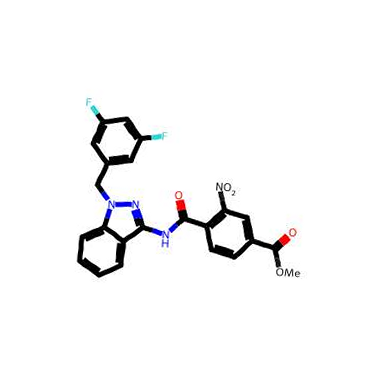 COC(=O)c1ccc(C(=O)Nc2nn(Cc3cc(F)cc(F)c3)c3ccccc23)c([N+](=O)[O-])c1